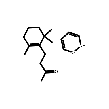 C1=CNOC=C1.CC(=O)CCC1=C(C)CCCC1(C)C